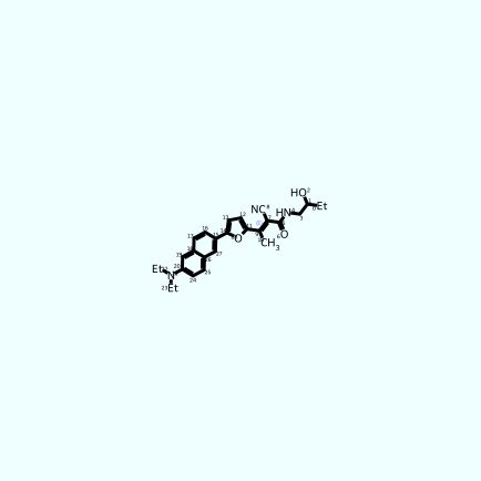 CCC(O)CNC(=O)/C(C#N)=C(\C)c1ccc(-c2ccc3cc(N(CC)CC)ccc3c2)o1